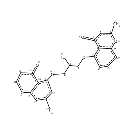 Cc1cc(=O)c2c(OCC(O)COc3cc([18F])cc4occc(=O)c34)cccc2o1